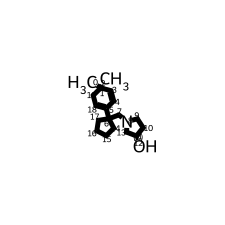 CC1(C)C=CC(C2(CN3CC[C@@H](O)C3)CCCC2)=CC1